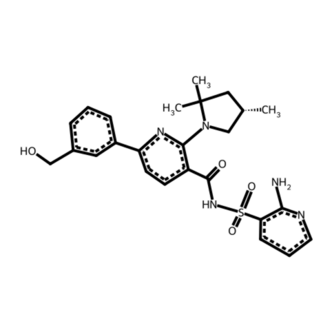 C[C@@H]1CN(c2nc(-c3cccc(CO)c3)ccc2C(=O)NS(=O)(=O)c2cccnc2N)C(C)(C)C1